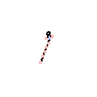 O=CCCOCCOCCOCCOCCN1C(=O)c2ccccc2C1=O